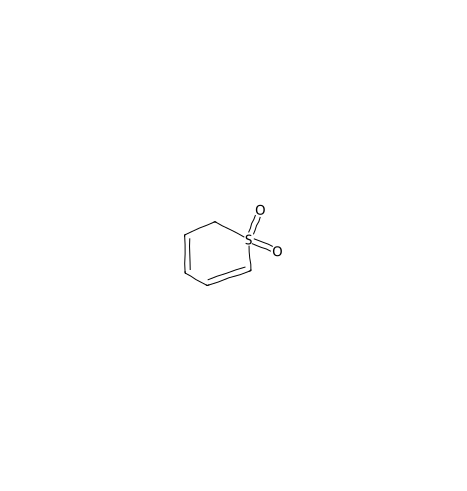 O=S1(=O)C=CC=CC1